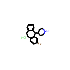 Brc1ccc2c(c1)C(C1CCNCC1)c1ccccc1CC2.Cl